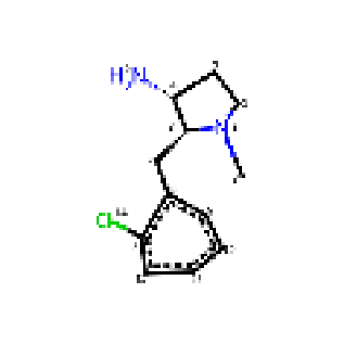 CN1CC[C@@H](N)[C@@H]1Cc1ccccc1Cl